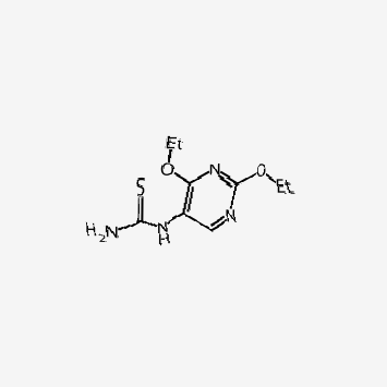 CCOc1ncc(NC(N)=S)c(OCC)n1